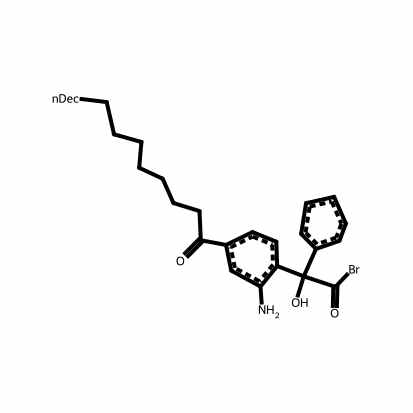 CCCCCCCCCCCCCCCCCC(=O)c1ccc(C(O)(C(=O)Br)c2ccccc2)c(N)c1